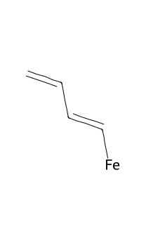 C=CC=[CH][Fe]